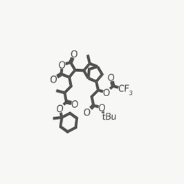 CC(CC1C(=O)OC(=O)C1C1C(C)C2CC(C(CC(=O)OC(C)(C)C)OC(=O)C(F)(F)F)C1C2)C(=O)OC1(C)CCCCC1